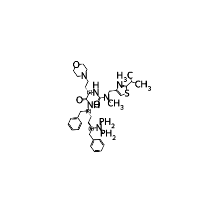 CC(C)c1nc(CN(C)C(=O)N[C@@H](CCN2CCOCC2)C(=O)N[C@H](CC[C@H](Cc2ccccc2)N(P)P)Cc2ccccc2)cs1